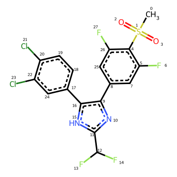 CS(=O)(=O)c1c(F)cc(-c2nc(C(F)F)[nH]c2-c2ccc(Cl)c(Cl)c2)cc1F